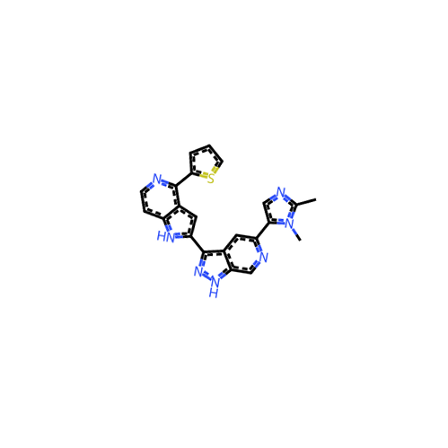 Cc1ncc(-c2cc3c(-c4cc5c(-c6cccs6)nccc5[nH]4)n[nH]c3cn2)n1C